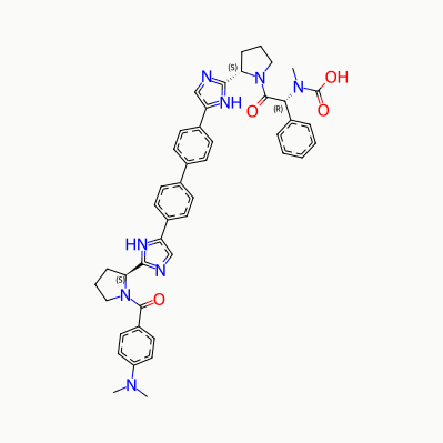 CN(C)c1ccc(C(=O)N2CCC[C@H]2c2ncc(-c3ccc(-c4ccc(-c5cnc([C@@H]6CCCN6C(=O)[C@@H](c6ccccc6)N(C)C(=O)O)[nH]5)cc4)cc3)[nH]2)cc1